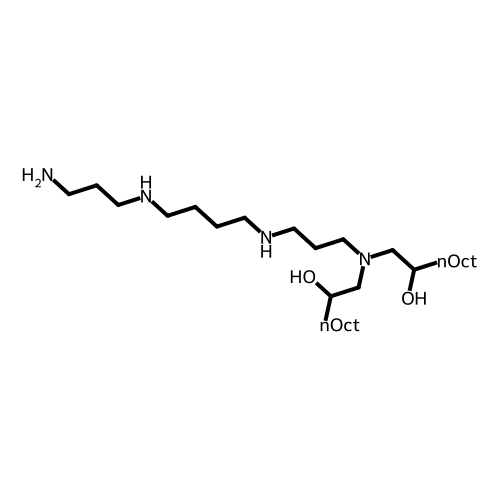 CCCCCCCCC(O)CN(CCCNCCCCNCCCN)CC(O)CCCCCCCC